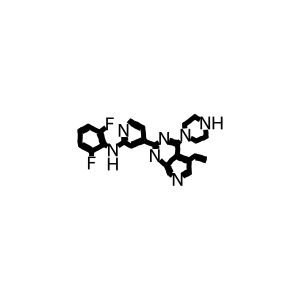 C=Cc1cncc2nc(-c3ccnc(Nc4c(F)cccc4F)c3)nc(N3CCNCC3)c12